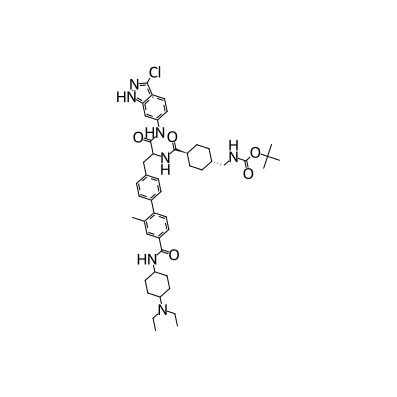 CCN(CC)C1CCC(NC(=O)c2ccc(-c3ccc(CC(NC(=O)[C@H]4CC[C@H](CNC(=O)OC(C)(C)C)CC4)C(=O)Nc4ccc5c(Cl)n[nH]c5c4)cc3)c(C)c2)CC1